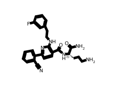 N#Cc1ccccc1-c1ccc(C(=O)N[C@@H](CCCN)C(N)=O)c(NCCc2cccc(F)c2)n1